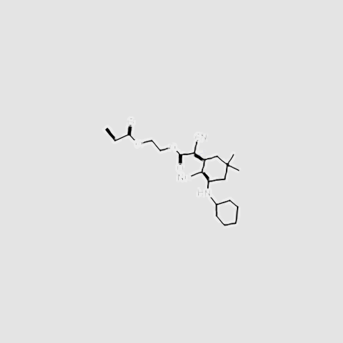 C=CC(=O)OCCOC(=O)/C(C#N)=C1/CC(C)(C)CC(NC2CCCCC2)=C1C#N